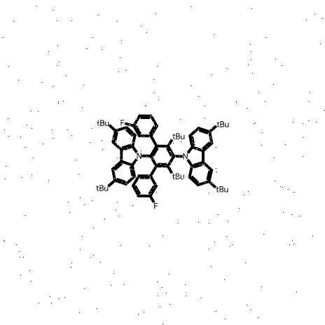 CC(C)(C)c1ccc2c(c1)c1cc(C(C)(C)C)ccc1n2-c1c(-c2cccc(F)c2)c(C(C)(C)C)c(-n2c3ccc(C(C)(C)C)cc3c3cc(C(C)(C)C)ccc32)c(C(C)(C)C)c1-c1cccc(F)c1